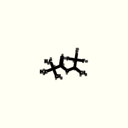 CC(OC(=O)C(C)(C)C)C(F)(F)F